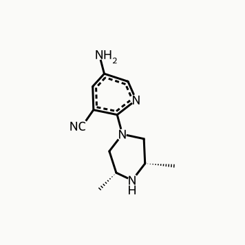 C[C@@H]1CN(c2ncc(N)cc2C#N)C[C@H](C)N1